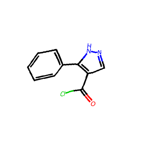 O=C(Cl)c1cn[nH]c1-c1ccccc1